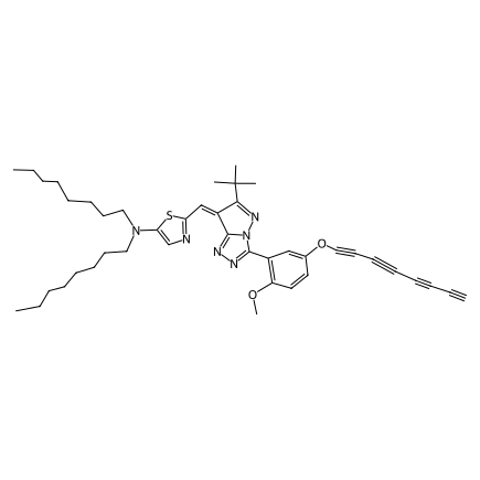 C#CC#CC#CC#COc1ccc(OC)c(-c2nnc3/c(=C\c4ncc(N(CCCCCCCC)CCCCCCCC)s4)c(C(C)(C)C)nn23)c1